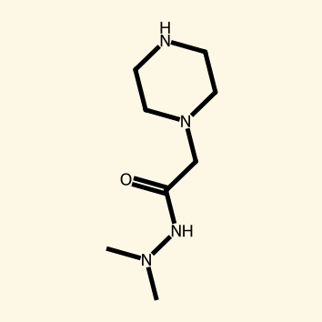 CN(C)NC(=O)CN1CCNCC1